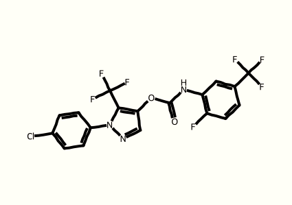 O=C(Nc1cc(C(F)(F)F)ccc1F)Oc1cnn(-c2ccc(Cl)cc2)c1C(F)(F)F